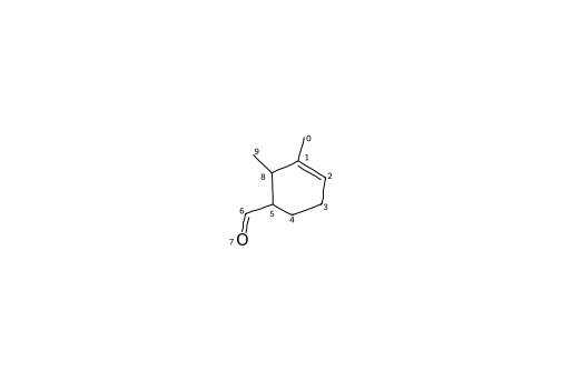 CC1=CCCC(C=O)C1C